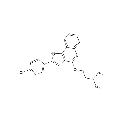 CN(C)CCOc1nc2ccccc2c2[nH]c(-c3ccc(Cl)cc3)cc12